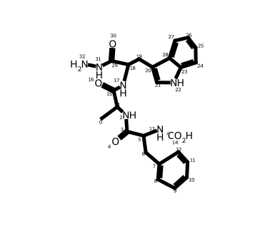 CC(NC(=O)C(Cc1ccccc1)NC(=O)O)C(=O)NC(Cc1c[nH]c2ccccc12)C(=O)NN